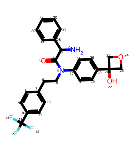 NC(C(=O)N(CCc1ccc(C(F)(F)F)cc1)c1ccc(C2(O)COC2)cc1)c1ccccc1